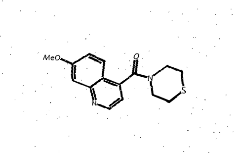 COc1ccc2c(C(=O)N3CCSCC3)ccnc2c1